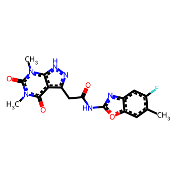 Cc1cc2oc(NC(=O)Cc3n[nH]c4c3c(=O)n(C)c(=O)n4C)nc2cc1F